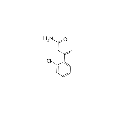 C=C(CC(N)=O)c1ccccc1Cl